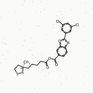 C[C@@]1(CCCCC(=O)OC(=O)c2ccc3nc(-c4cc(Cl)cc(Cl)c4)oc3c2)CCSS1